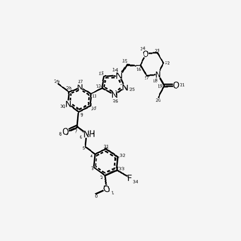 COc1cc(CNC(=O)c2cc(-c3cn(C[C@@H]4CN(C(C)=O)CCO4)nn3)nc(C)n2)ccc1F